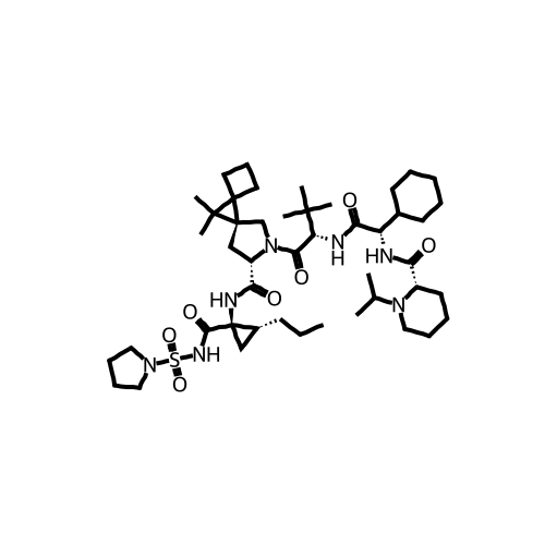 CCC[C@@H]1C[C@]1(NC(=O)[C@@H]1C[C@@]2(CN1C(=O)[C@@H](NC(=O)[C@@H](NC(=O)[C@@H]1CCCCN1C(C)C)C1CCCCC1)C(C)(C)C)C(C)(C)C21CCC1)C(=O)NS(=O)(=O)N1CCCC1